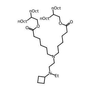 CCCCCCCCC(CCCCCCCC)COC(=O)CCCCCN(CCCCCC(=O)OCC(CCCCCCCC)CCCCCCCC)CCN(CC)C1CCC1